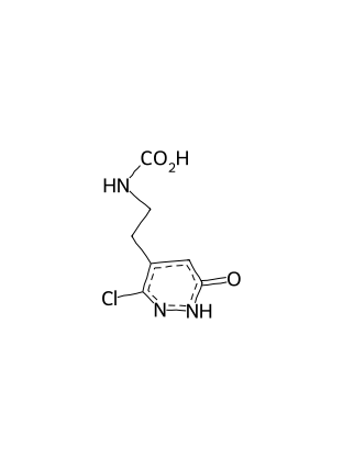 O=C(O)NCCc1cc(=O)[nH]nc1Cl